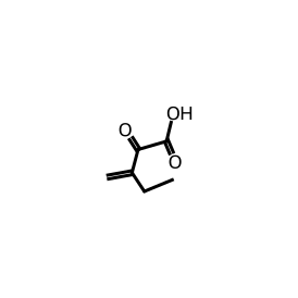 C=C(CC)C(=O)C(=O)O